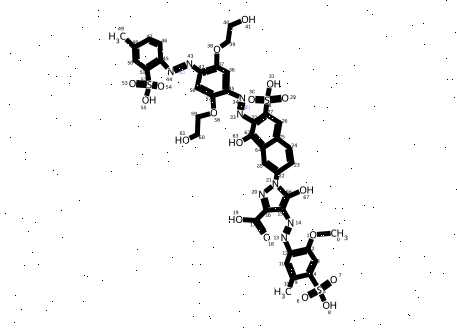 COc1cc(S(=O)(=O)O)c(C)cc1N=Nc1c(C(=O)O)nn(-c2ccc3cc(S(=O)(=O)O)c(/N=N/c4cc(OCCO)c(/N=N/c5ccc(C)cc5S(=O)(=O)O)cc4OCCO)c(O)c3c2)c1O